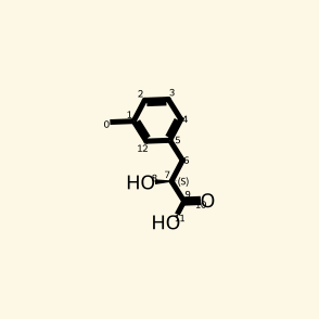 Cc1cccc(C[C@H](O)C(=O)O)c1